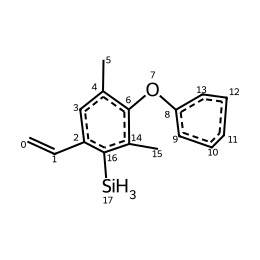 C=Cc1cc(C)c(Oc2ccccc2)c(C)c1[SiH3]